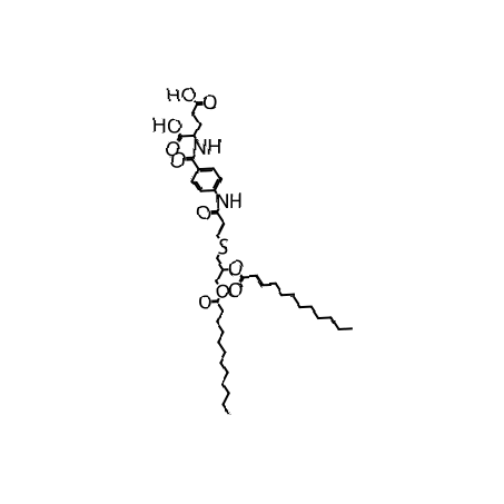 CCCCCCCCCCCC(=O)OCC(CSCCC(=O)Nc1ccc(C(=O)NC(CCC(=O)O)C(=O)O)cc1)OC(=O)CCCCCCCCCCC